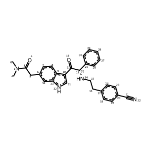 CN(C)C(=O)Cc1ccc2c(C(=O)[C@@H](NCCc3ccc(C#N)cc3)c3ccccc3)c[nH]c2c1